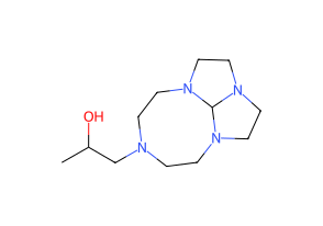 CC(O)CN1CCN2CCN3CCN(CC1)C23